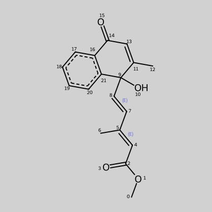 COC(=O)/C=C(C)/C=C/C1(O)C(C)=CC(=O)c2ccccc21